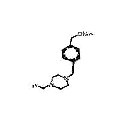 COCc1ccc(CN2CCN(CC(C)C)CC2)cc1